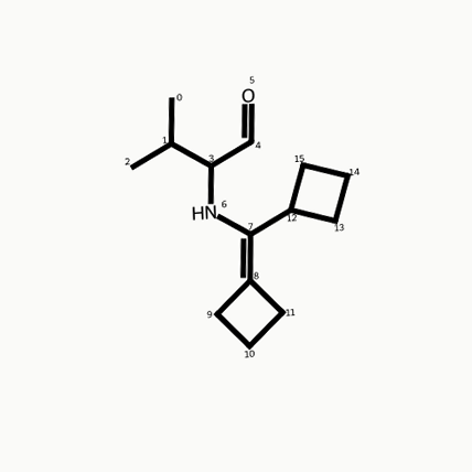 CC(C)C(C=O)NC(=C1CCC1)C1CCC1